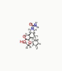 Cc1ccc(-c2c(C)c3c(c(C)c2C(OC(C)(C)C)C(=O)O)CN(C(=O)N(C)C)C3)cc1